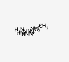 C=Cc1ccc(Cn2nc(Nc3n[nH]c(N)n3)nc2N)cc1